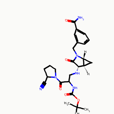 CC(C)(C)OC(=O)NC(CN[C@@H]1C(=O)N(Cc2cccc(C(N)=O)c2)[C@@H]2C[C@@H]12)C(=O)N1CCCC1C#N